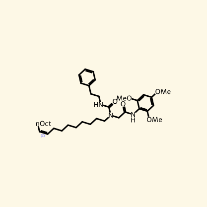 CCCCCCCC/C=C\CCCCCCCCN(CC(=O)Nc1c(OC)cc(OC)cc1OC)C(=O)NCCc1ccccc1